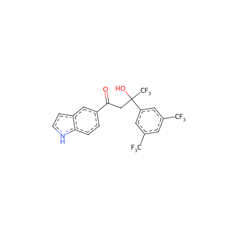 O=C(CC(O)(c1cc(C(F)(F)F)cc(C(F)(F)F)c1)C(F)(F)F)c1ccc2[nH]ccc2c1